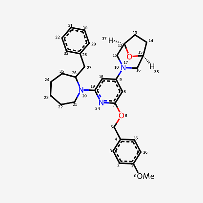 COc1ccc(COc2cc(N3C[C@H]4CC[C@@H](C3)O4)cc(N3CCCCCC3Cc3ccccc3)n2)cc1